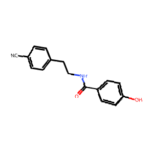 N#Cc1ccc(CCNC(=O)c2ccc(O)cc2)cc1